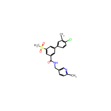 Cc1ccc(CNC(=O)c2cc(-c3ccc(Cl)c(C(F)(F)F)c3)cc(S(C)(=O)=O)c2)cn1